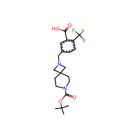 CC(C)(C)OC(=O)N1CCC2(CC1)CN(Cc1ccc(C(F)(F)F)c(C(=O)O)c1)C2